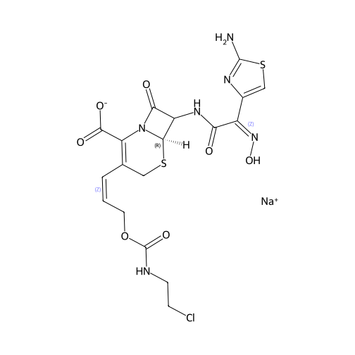 Nc1nc(/C(=N/O)C(=O)NC2C(=O)N3C(C(=O)[O-])=C(/C=C\COC(=O)NCCCl)CS[C@H]23)cs1.[Na+]